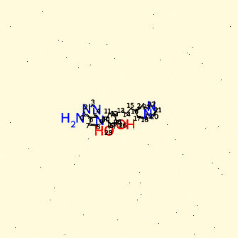 Nc1ncnc2c1ccn2[C@@H]1C[C@H](CCCc2ccn3ccnc3c2)[C@@H](O)[C@H]1O